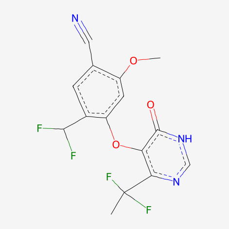 COc1cc(Oc2c(C(C)(F)F)nc[nH]c2=O)c(C(F)F)cc1C#N